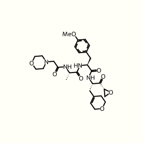 COc1ccc(C[C@H](NC(=O)[C@H](C)NC(=O)CN2CCOCC2)C(=O)N[C@@H](CC2=CCOCC2)C(=O)[C@H]2CO2)cc1